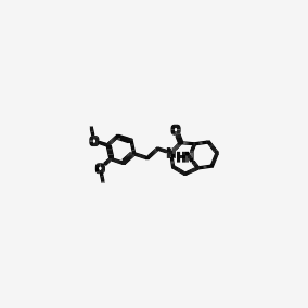 COc1ccc(CCN2CCC3CCCC(N3)C2=O)cc1OC